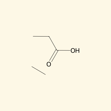 CC.CCC(=O)O